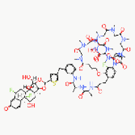 C[C@H](NC(=O)CCc1ccc(N2C(=O)C=CC2=O)c(F)c1OCCCC(=O)N(C)CC(=O)N(C)CC(=O)N(C)CC(=O)N(C)CC(=O)N(C)CC(=O)N(C)CC(=O)N(C)CC(=O)N(C)CC(=O)N(C)CC(=O)N(C)CC(=O)O)C(=O)N[C@@H](C)C(=O)Nc1cccc(Cc2csc([C@@H]3O[C@@H]4C[C@H]5[C@@H]6C[C@H](F)C7=CC(=O)C=C[C@]7(C)[C@@]6(F)[C@@H](O)C[C@]5(C)[C@]4(C(=O)CO)O3)c2)c1